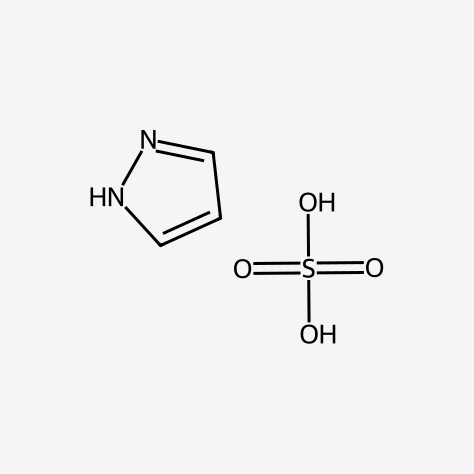 O=S(=O)(O)O.c1cn[nH]c1